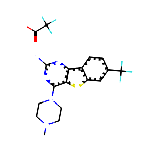 CN1CCN(c2nc(N)nc3c2sc2cc(C(F)(F)F)ccc23)CC1.O=C(O)C(F)(F)F